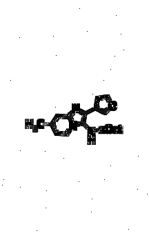 CCCCCCCCNc1c(-c2ccoc2)nc2cc(C)ccn12